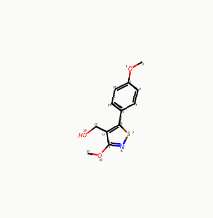 COc1ccc(-c2snc(OC)c2CO)cc1